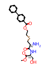 COC(=O)[C@H](CO)NC(=O)[C@@H](N)CSCCOC(=O)c1ccc(-c2ccccc2)cc1